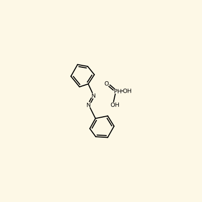 O=[PH](O)O.c1ccc(/N=N/c2ccccc2)cc1